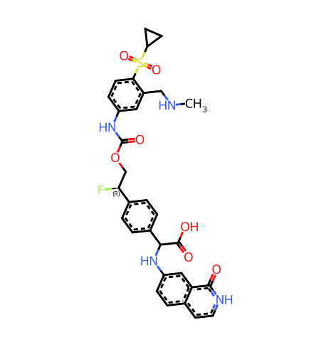 CNCc1cc(NC(=O)OC[C@H](F)c2ccc(C(Nc3ccc4cc[nH]c(=O)c4c3)C(=O)O)cc2)ccc1S(=O)(=O)C1CC1